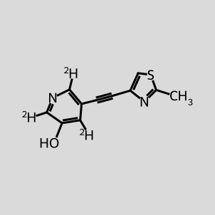 [2H]c1nc([2H])c(C#Cc2csc(C)n2)c([2H])c1O